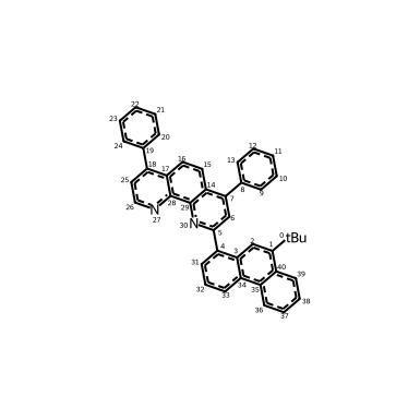 CC(C)(C)c1cc2c(-c3cc(-c4ccccc4)c4ccc5c(-c6ccccc6)ccnc5c4n3)cccc2c2ccccc12